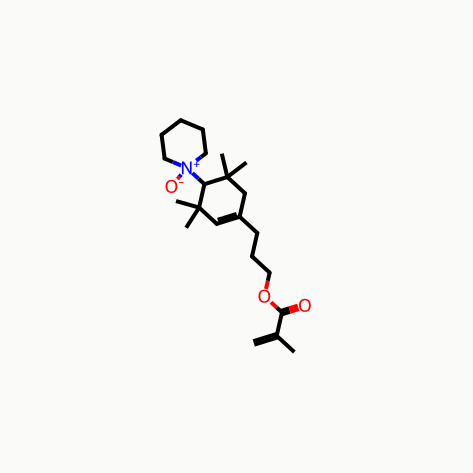 C=C(C)C(=O)OCCCC1=CC(C)(C)C([N+]2([O-])CCCCC2)C(C)(C)C1